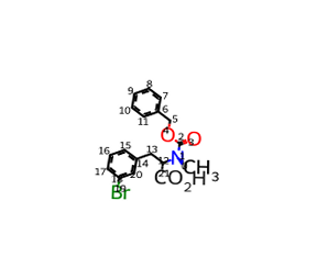 CN(C(=O)OCc1ccccc1)C(Cc1cccc(Br)c1)C(=O)O